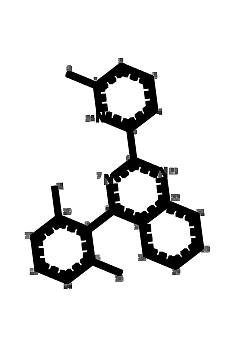 Cc1cccc(-c2nc(-c3c(C)cccc3C)c3ccccc3n2)n1